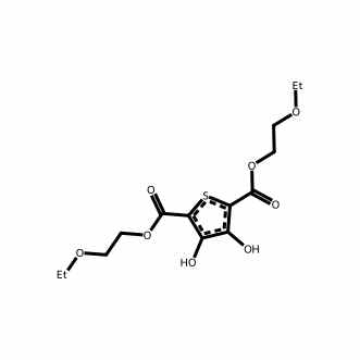 CCOCCOC(=O)c1sc(C(=O)OCCOCC)c(O)c1O